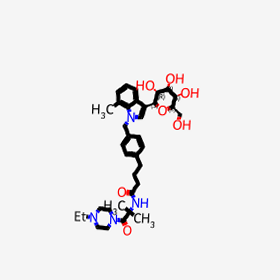 CCN1CCN(C(=O)C(C)(C)NC(=O)CCCc2ccc(Cn3cc([C@@H]4O[C@H](CO)[C@@H](O)[C@H](O)[C@H]4O)c4cccc(C)c43)cc2)CC1